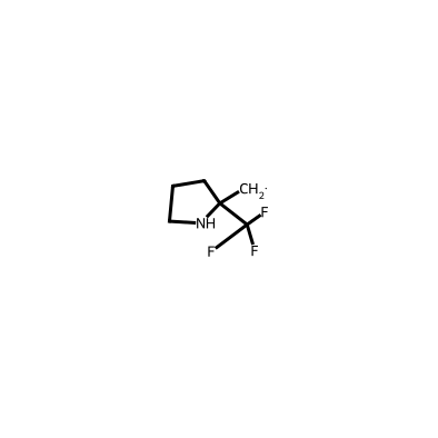 [CH2]C1(C(F)(F)F)CCCN1